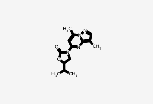 Cc1cnn2c(C)cc(N3CC(C(C)C)OC3=O)nc12